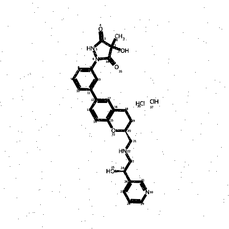 CC1(O)C(=O)NN(c2cccc(-c3ccc4c(c3)CC[C@@H](CNC[C@H](O)c3cccnc3)O4)c2)C1=O.Cl.Cl